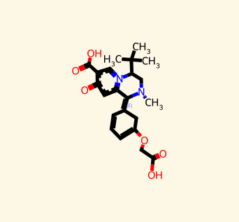 CN1CC(C(C)(C)C)n2cc(C(=O)O)c(=O)cc2/C1=C1\C=CC=C(OCC(=O)O)C1